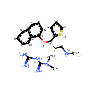 CN(C)C(=N)NC(=N)N.CNCC[C@H](Oc1cccc2ccccc12)c1cccs1